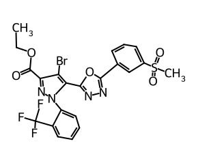 CCOC(=O)c1nn(-c2ccccc2C(F)(F)F)c(-c2nnc(-c3cccc(S(C)(=O)=O)c3)o2)c1Br